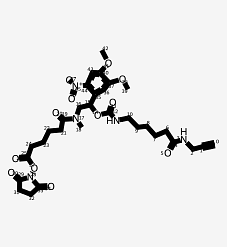 C#CCNC(=O)CCCCCNC(=O)OC(CN(C)C(=O)CCCCC(=O)ON1C(=O)CCC1=O)c1cc(OC)c(OC)cc1[N+](=O)[O-]